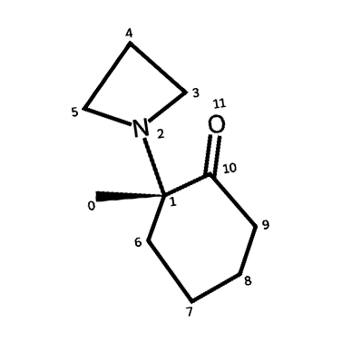 C[C@]1(N2CCC2)CCCCC1=O